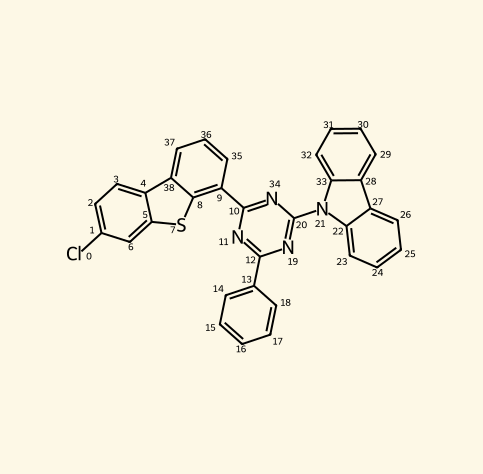 Clc1ccc2c(c1)sc1c(-c3nc(-c4ccccc4)nc(-n4c5ccccc5c5ccccc54)n3)cccc12